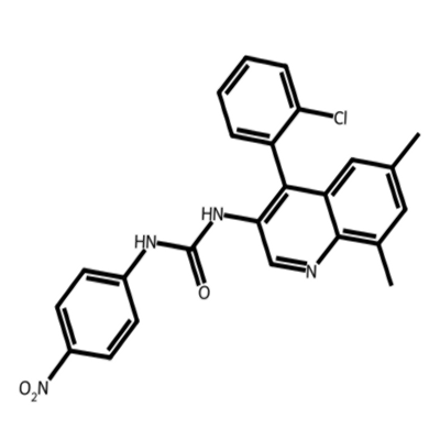 Cc1cc(C)c2ncc(NC(=O)Nc3ccc([N+](=O)[O-])cc3)c(-c3ccccc3Cl)c2c1